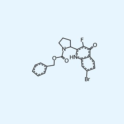 O=C(OCc1ccccc1)N1CCCC1c1[nH]c2cc(Br)ccc2c(=O)c1F